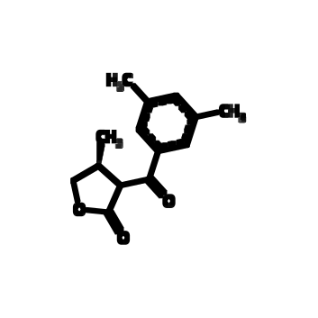 Cc1cc(C)cc(C(=O)C2C(=O)OC[C@H]2C)c1